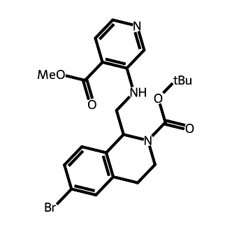 COC(=O)c1ccncc1NCC1c2ccc(Br)cc2CCN1C(=O)OC(C)(C)C